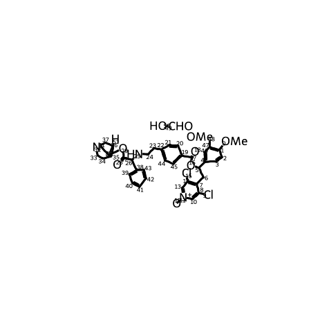 COc1ccc(C(Cc2c(Cl)c[n+]([O-])cc2Cl)OC(=O)c2ccc(CCNC(C(=O)O[C@H]3CN4CCC3CC4)c3ccccc3)cc2)cc1OC.O=CO